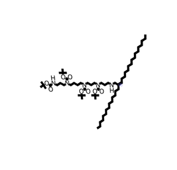 CCCCCCCCCCCCCCC/C=C(/CCCCCCCCCCCCCC)CNCCCN(CCCN(CCCCN(CCCNC(=O)OC(C)(C)C)C(=O)OC(C)(C)C)C(=O)OC(C)(C)C)C(=O)OC(C)(C)C